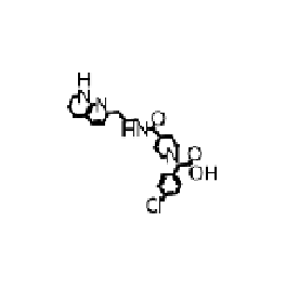 O=C(NCCCc1ccc2c(n1)NCCC2)C1CCN(C(C(=O)O)c2ccc(Cl)cc2)CC1